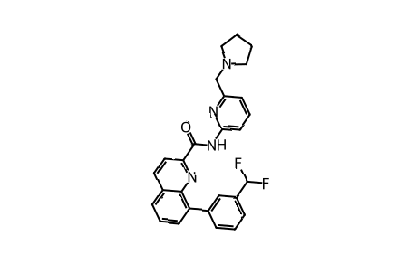 O=C(Nc1cccc(CN2CCCC2)n1)c1ccc2cccc(-c3cccc(C(F)F)c3)c2n1